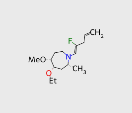 C=CC/C(F)=C/N1CC[C@@H](OC)[C@@H](OCC)C[C@H]1C